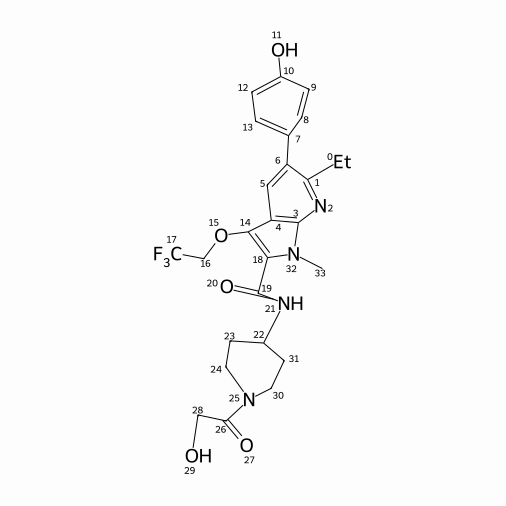 CCc1nc2c(cc1-c1ccc(O)cc1)c(OCC(F)(F)F)c(C(=O)NC1CCN(C(=O)CO)CC1)n2C